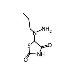 CCCN(N)C1SC(=O)NC1=O